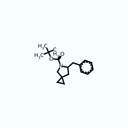 CC(C)(C)OC(=O)N1CC2(CC2)CC1Cc1ccccc1